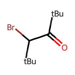 CC(C)(C)C(=O)C(Br)C(C)(C)C